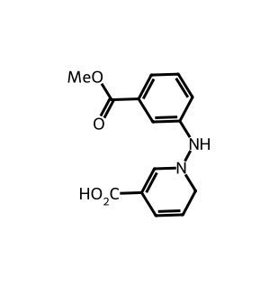 COC(=O)c1cccc(NN2C=C(C(=O)O)C=CC2)c1